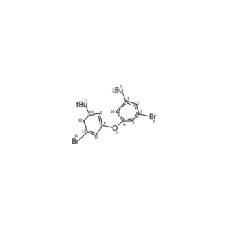 CC(C)(C)c1cc(Br)cc(OC2=CC(C(C)(C)C)CC(Br)=C2)c1